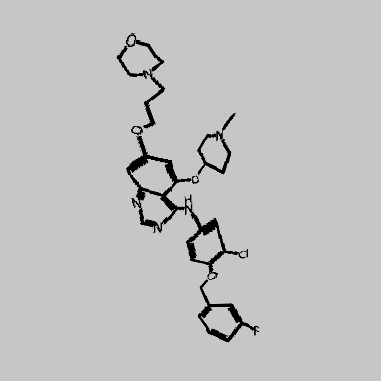 CN1CCC(Oc2cc(OCCCN3CCOCC3)cc3ncnc(Nc4ccc(OCc5cccc(F)c5)c(Cl)c4)c23)CC1